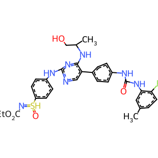 CCOC(=O)N=[SH](=O)c1ccc(Nc2ncc(-c3ccc(NC(=O)Nc4cc(C)ccc4F)cc3)c(NC(C)CO)n2)cc1